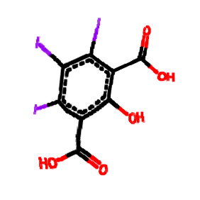 O=C(O)c1c(O)c(C(=O)O)c(I)c(I)c1I